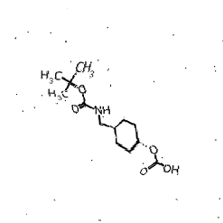 CC(C)(C)OC(=O)NC[C@H]1CC[C@H](OC(=O)O)CC1